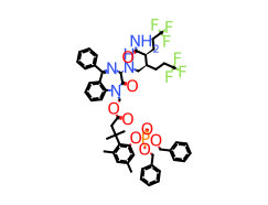 Cc1cc(C)c(C(C)(C)CC(=O)OCN2C(=O)[C@@H](NC[C@H](CCC(F)(F)F)[C@H](CCC(F)(F)F)C(N)=O)N=C(c3ccccc3)c3ccccc32)c(OP(=O)(OCc2ccccc2)OCc2ccccc2)c1